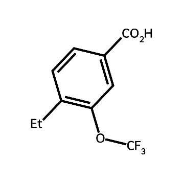 CCc1ccc(C(=O)O)cc1OC(F)(F)F